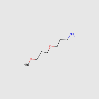 CCCCOCCCOCCCN